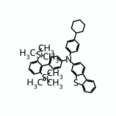 C[Si](C)(C)c1cccc([Si](C)(C)C)c1-c1ccc(N(c2ccc(C3CCCCC3)cc2)c2ccc3c(c2)sc2ccccc23)cc1